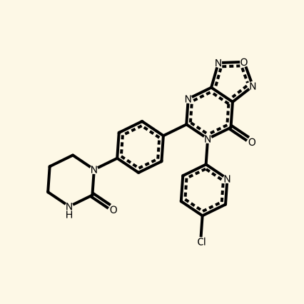 O=C1NCCCN1c1ccc(-c2nc3nonc3c(=O)n2-c2ccc(Cl)cn2)cc1